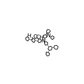 CC1(C)c2cc(-c3ccccc3)ccc2-c2ccc(N(c3ccc(-c4cc(-c5ccccc5)cc(-c5ccccc5)c4)cc3)c3ccc4c5ccccc5n(-c5ccccc5)c4c3)cc21